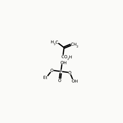 C=C(C)C(=O)O.CCOP(=O)(O)OO